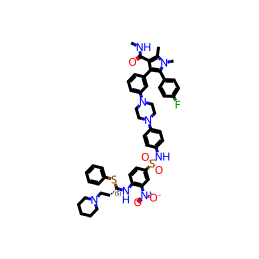 CNC(=O)c1c(-c2cccc(N3CCN(c4ccc(NS(=O)(=O)c5ccc(N[C@H](CCN6CCCCC6)Sc6ccccc6)c([N+](=O)[O-])c5)cc4)CC3)c2)c(-c2ccc(F)cc2)n(C)c1C